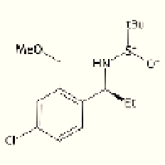 CC[C@H](N[S+]([O-])C(C)(C)C)c1ccc(Cl)cc1COC